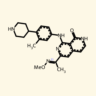 CO/N=C(\C)c1cc2cc[nH]c(=O)c2c(Nc2ccc(C3CCNCC3)c(C)c2)n1